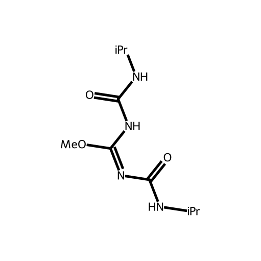 COC(=NC(=O)NC(C)C)NC(=O)NC(C)C